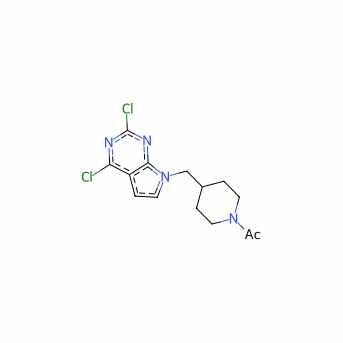 CC(=O)N1CCC(Cn2ccc3c(Cl)nc(Cl)nc32)CC1